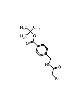 CC(C)(C)OC(=O)c1ccc(CNC(=O)CBr)cc1